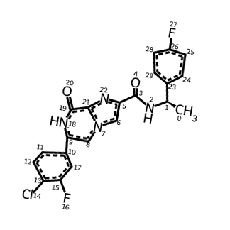 C[C@@H](NC(=O)c1cn2cc(-c3ccc(Cl)c(F)c3)[nH]c(=O)c2n1)c1ccc(F)cc1